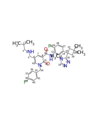 CC(C)CNCc1cc(C(=O)Nc2cc(C3(c4nncn4C)CC(C)(C)C3)ccc2F)c(=O)n(Cc2ccc(F)cc2)c1